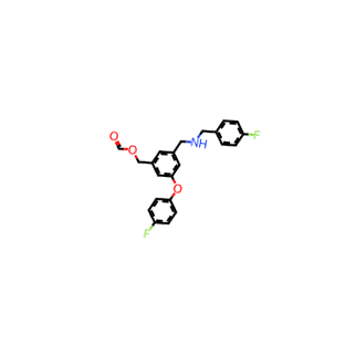 O=COCc1cc(CNCc2ccc(F)cc2)cc(Oc2ccc(F)cc2)c1